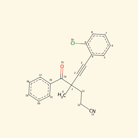 CC(C#Cc1ccccc1Cl)(CCC#N)C(=O)c1ccccc1